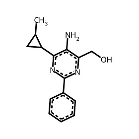 CC1CC1c1nc(-c2ccccc2)nc(CO)c1N